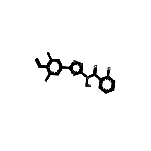 C=Cc1c(C)cc(-c2nnc(N(CCCC)C(=O)c3ccccc3Cl)s2)cc1C